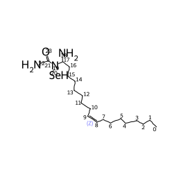 CCCCCCCC/C=C\CCCCCCCC(N)N([SeH])C(N)=O